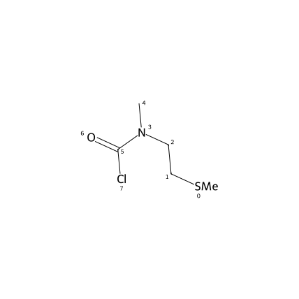 CSCCN(C)C(=O)Cl